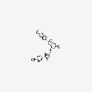 COc1cc(OCc2csc(-c3ccc(Cl)nc3)n2)c2cc(-c3cn4nc(OC)sc4n3)oc2c1